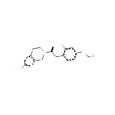 CCOc1ccc(CC(=O)N2CCc3nc(C)sc3C2)c(F)c1